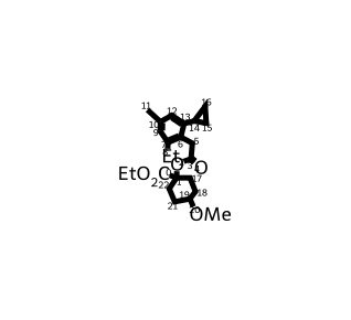 CCOC(=O)C1(OC(=O)Cc2c(CC)cc(C)cc2C2CC2)CCC(OC)CC1